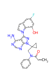 C=CC(=O)N(CC1(n2nc(-n3ccc4cc(F)cc(O)c43)c3c(N)ncnc32)CC1)c1ccccc1